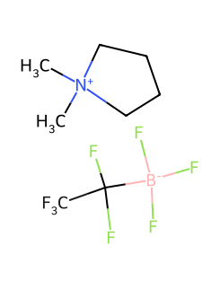 C[N+]1(C)CCCC1.F[B-](F)(F)C(F)(F)C(F)(F)F